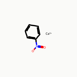 O=[N+]([O-])c1ccccc1.[Ca+2]